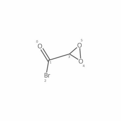 O=C(Br)C1OO1